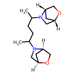 CC(CCC(C)N1C[C@H]2C[C@@H]1CO2)N1C[C@@H]2C[C@H]1CO2